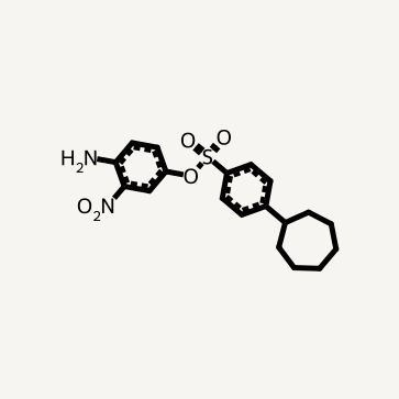 Nc1ccc(OS(=O)(=O)c2ccc(C3CCCCCC3)cc2)cc1[N+](=O)[O-]